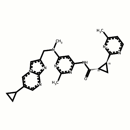 Cc1ccnc([C@H]2C[C@@H]2C(=O)Nc2cc(N(C)Cc3cn4cc(C5CC5)cnc4n3)nc(C)n2)n1